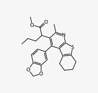 CCCC(C(=O)OC)c1c(C)nc2sc3c(c2c1-c1ccc2c(c1)OCO2)CCCC3